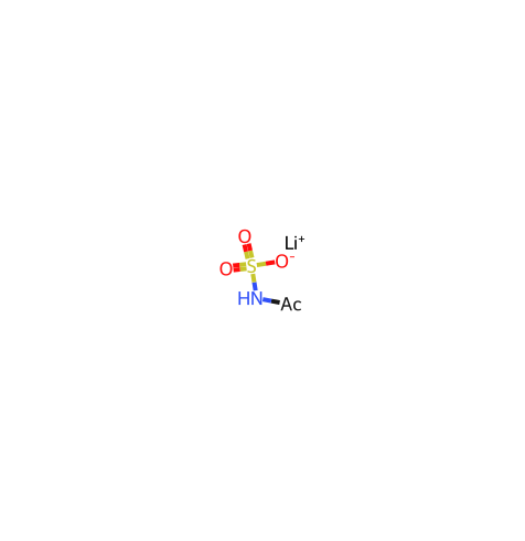 CC(=O)NS(=O)(=O)[O-].[Li+]